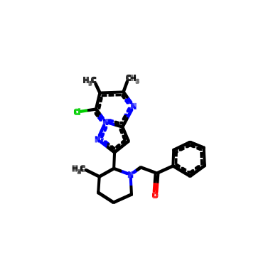 Cc1nc2cc(C3C(C)CCCN3CC(=O)c3ccccc3)nn2c(Cl)c1C